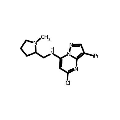 CC(C)c1cnn2c(NCC3CCCN3C)cc(Cl)nc12